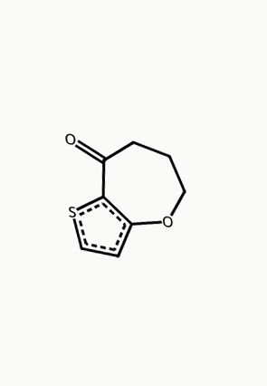 O=C1CCCOc2ccsc21